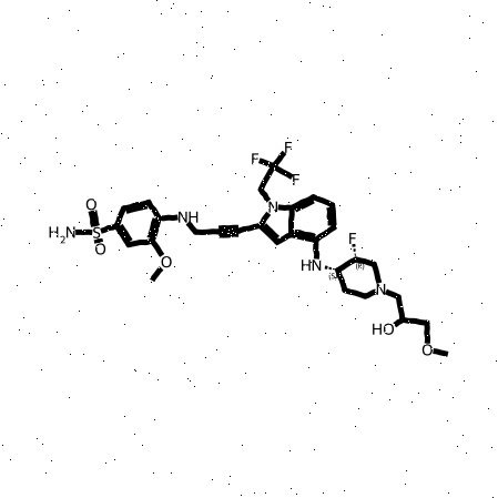 COCC(O)CN1CC[C@H](Nc2cccc3c2cc(C#CCNc2ccc(S(N)(=O)=O)cc2OC)n3CC(F)(F)F)[C@H](F)C1